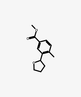 COC(=O)c1ccc(C)c(C2CCCO2)c1